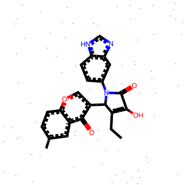 CCC1=C(O)C(=O)N(c2ccc3[nH]cnc3c2)C1c1coc2ccc(C)cc2c1=O